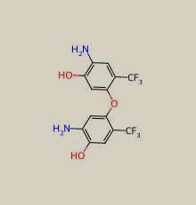 Nc1cc(C(F)(F)F)c(Oc2cc(N)c(O)cc2C(F)(F)F)cc1O